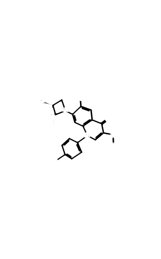 C[C@@H]1[C@@H](N)CN1c1cc2c(cc1F)c(=O)c(OC(=O)O)cn2-c1ccc(F)cc1